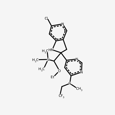 CCOC(C1(c2cc(N(C)CC(F)(F)F)ncn2)Cc2cnc(Cl)cc2N1)[Si](C)(C)C